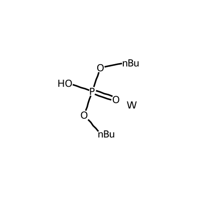 CCCCOP(=O)(O)OCCCC.[W]